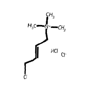 C[N+](C)(C)CC=CCCl.Cl.[Cl-]